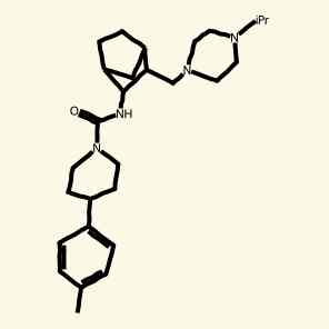 Cc1ccc(C2CCN(C(=O)NC3C4CCC(C4)C3CN3CCN(C(C)C)CC3)CC2)cc1